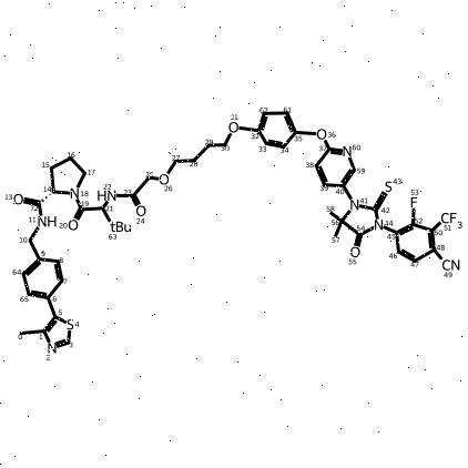 Cc1ncsc1-c1ccc(CNC(=O)[C@@H]2CCCN2C(=O)C(NC(=O)COCCCCOc2ccc(Oc3ccc(N4C(=S)N(c5ccc(C#N)c(C(F)(F)F)c5F)C(=O)C4(C)C)cn3)cc2)C(C)(C)C)cc1